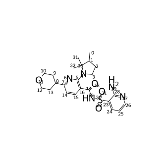 CC1CCN(c2nc(C3CCOCC3)ccc2C(=O)NS(=O)(=O)c2cccnc2N)C1(C)C